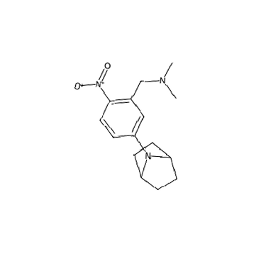 CN(C)Cc1cc(N2C3CCC2CC3)ccc1[N+](=O)[O-]